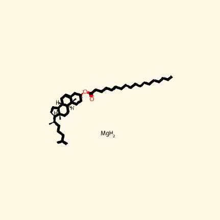 CCCCCCCCCCCCCCCCCC(=O)O[C@H]1CC[C@@]2(C)C(=CC[C@H]3[C@@H]4CC[C@H]([C@H](C)CCCC(C)C)[C@@]4(C)CC[C@@H]32)C1.[MgH2]